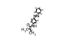 CC=C(C)C(=O)Nc1ccc(N=Nc2ccccc2)cc1